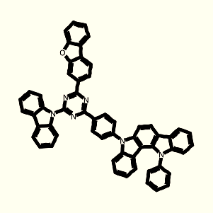 c1ccc(-n2c3ccccc3c3ccc4c(c5ccccc5n4-c4ccc(-c5nc(-c6ccc7c(c6)oc6ccccc67)nc(-n6c7ccccc7c7ccccc76)n5)cc4)c32)cc1